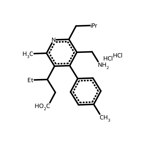 CCC(CC(=O)O)c1c(C)nc(CC(C)C)c(CN)c1-c1ccc(C)cc1.Cl.Cl